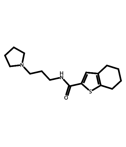 O=C(NCCCN1CCCC1)c1cc2c(s1)CCCC2